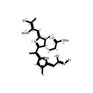 CC/N=C(/C=c1\[nH]/c(=C(/C)C2=N/C(=C\C(NC)=C(/C)CC)[C@@H](C)[C@@H]2CCC(=O)OC)cc1C)CC